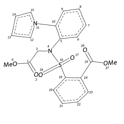 COC(=O)CN(c1ccccc1-n1cccc1)S(=O)(=O)c1ccccc1C(=O)OC